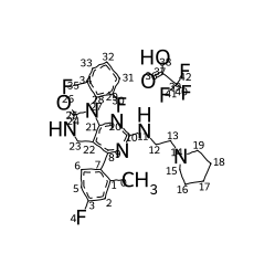 Cc1cc(F)ccc1-c1nc(NCCN2CCCCC2)nc2c1CNC(=O)N2c1c(F)cccc1F.O=C(O)C(F)(F)F